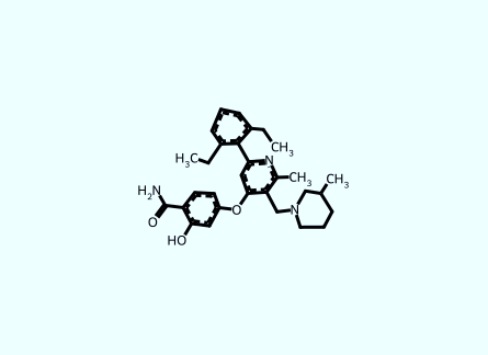 CCc1cccc(CC)c1-c1cc(Oc2ccc(C(N)=O)c(O)c2)c(CN2CCCC(C)C2)c(C)n1